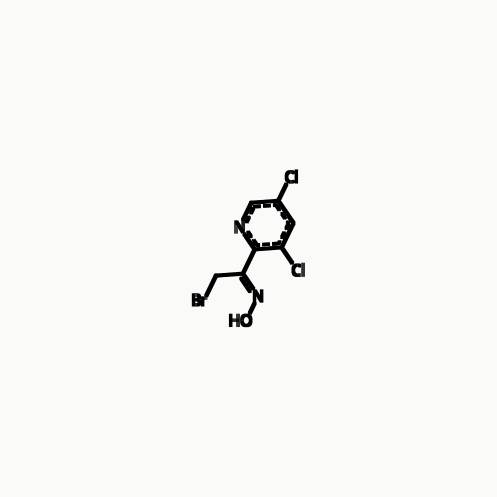 ON=C(CBr)c1ncc(Cl)cc1Cl